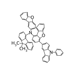 CC1(C)c2ccccc2-c2c(N(c3ccc4oc5ccccc5c4c3)c3ccc(-c4ccc5c(c4)c4ccccc4n5-c4ccccc4)c4oc5ccccc5c34)cccc21